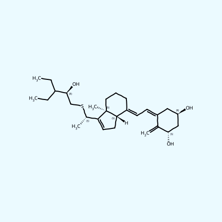 C=C1C(=CC=C2CCC[C@]3(C)C([C@H](C)SC[C@H](O)C(CC)CC)=CC[C@@H]23)C[C@@H](O)C[C@@H]1O